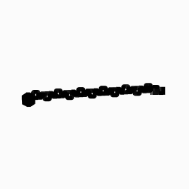 CCC(C)OCCOCCOCCOCCOCCOCCOCCOCCOCCOCCOc1ccccc1